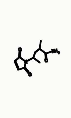 CC(CC(C)N1C(=O)C=CC1=O)C(N)=O